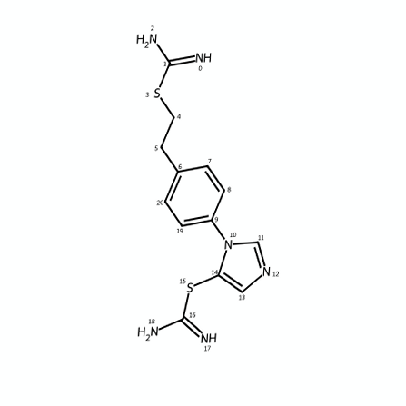 N=C(N)SCCc1ccc(-n2cncc2SC(=N)N)cc1